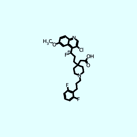 COc1ccc2ncc(Cl)c([C@H](F)CCC3(CC(=O)O)CCN(CCCc4c(F)cccc4F)CC3)c2c1